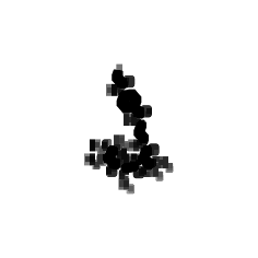 CC(C)C(C)C(=O)N[C@H](C)C(=O)N[C@@H](C(=O)NCCCNC(=O)c1ccc(NC(=O)CI)cc1)C(C)C